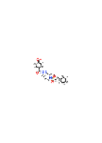 O=C(NCC1CCN(S(=O)(=O)CCc2ccccc2)CC1)c1ccc(O)cc1